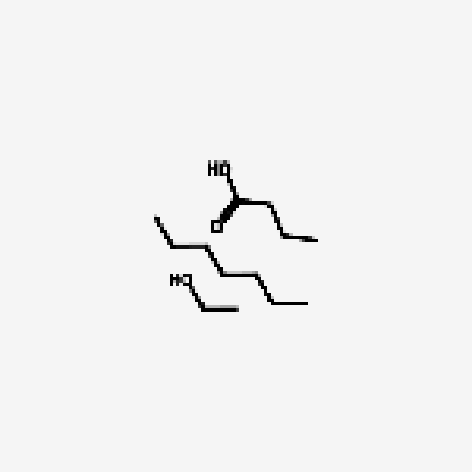 CCCC(=O)O.CCCCCCC.CCO